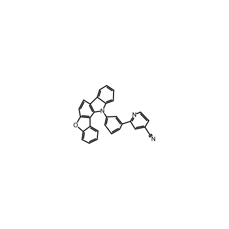 N#Cc1ccnc(-c2cccc(-n3c4ccccc4c4ccc5oc6ccccc6c5c43)c2)c1